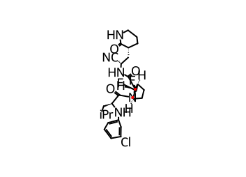 CC(C)C[C@H](Nc1cccc(Cl)c1)C(=O)N1[C@@H]2CC[C@H]([C@H]1C(=O)N[C@H](C#N)C[C@H]1CCCNC1=O)C(F)(F)C2